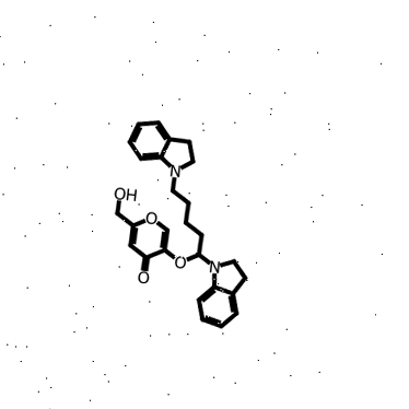 O=c1cc(CO)occ1OC(CCCCN1CCc2ccccc21)N1CCc2ccccc21